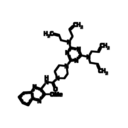 C=CCN(CC=C)c1nc(N(CC=C)CC=C)nc(N2CCN(C(=O)Nc3nc4ccccc4nc3OC)CC2)n1